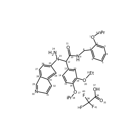 CCCOc1ccccc1CNC(=O)C(c1ccc(OC(C)C)c(OCC)c1)N(N)c1ccc2cnccc2c1.O=C(O)C(F)(F)F